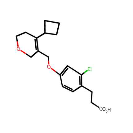 O=C(O)CCc1ccc(OCC2=C(C3CCC3)CCOC2)cc1Cl